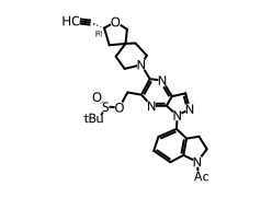 C#C[C@H]1CC2(CCN(c3nc4cnn(-c5cccc6c5CCN6C(C)=O)c4nc3COS(=O)C(C)(C)C)CC2)CO1